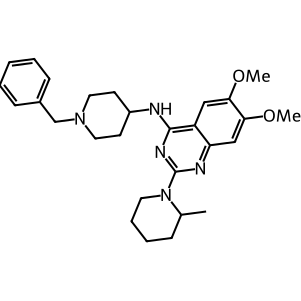 COc1cc2nc(N3CCCCC3C)nc(NC3CCN(Cc4ccccc4)CC3)c2cc1OC